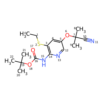 CCSc1cc(OC(C)(C)C#N)cnc1NC(=O)OC(C)(C)C